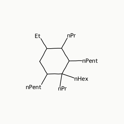 CCCCCCC1(CCC)C(CCCCC)CC(CC)C(CCC)C1CCCCC